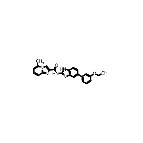 CCOc1cccc(-c2ccc3[nH]c(NC(=O)c4cn5c(C)cccc5n4)nc3c2)c1